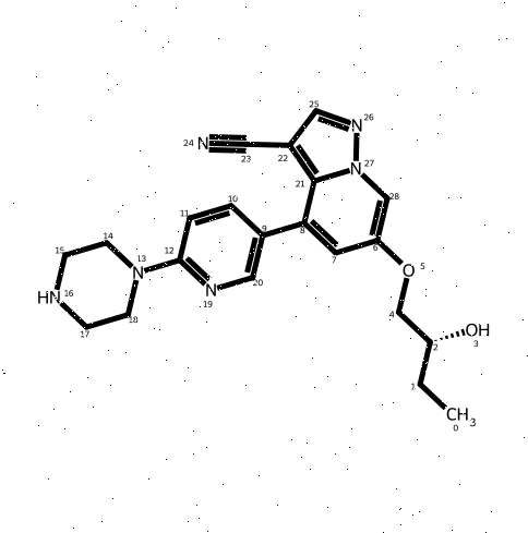 CC[C@@H](O)COc1cc(-c2ccc(N3CCNCC3)nc2)c2c(C#N)cnn2c1